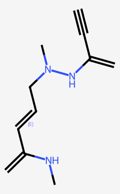 C#CC(=C)NN(C)C/C=C/C(=C)NC